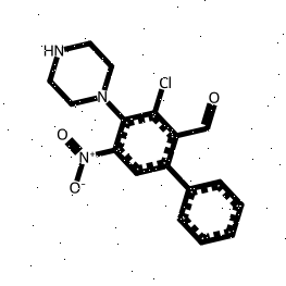 O=Cc1c(-c2ccccc2)cc([N+](=O)[O-])c(N2CCNCC2)c1Cl